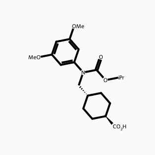 COc1cc(OC)cc(N(C[C@H]2CC[C@H](C(=O)O)CC2)C(=O)OC(C)C)c1